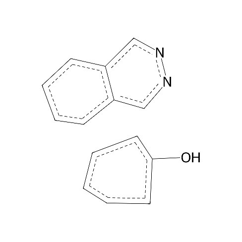 Oc1ccccc1.c1ccc2cnncc2c1